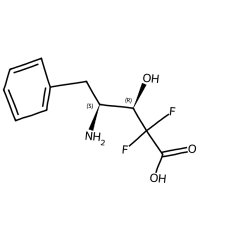 N[C@@H](Cc1ccccc1)[C@@H](O)C(F)(F)C(=O)O